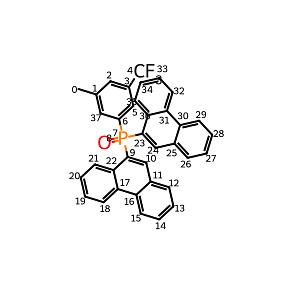 Cc1cc(C(F)(F)F)cc(P(=O)(c2cc3ccccc3c3ccccc23)c2cc3ccccc3c3ccccc23)c1